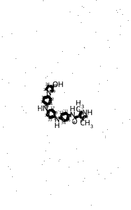 Cc1c[nH]c(C)c1C(=O)Nc1ccc(Nc2ccc(Nc3ccc(N4CC[C@@H](O)C4)cc3)cc2)cc1